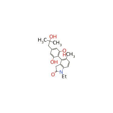 CCN1C(=O)Cc2c1ccc(C)c2-c1c(O)cc(CC(C)(C)O)cc1O